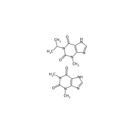 CC(C)n1c(=O)c2[nH]cnc2n(C)c1=O.Cn1c(=O)c2[nH]cnc2n(C)c1=O